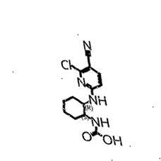 N#Cc1ccc(N[C@@H]2CCCC[C@@H]2NC(=O)O)nc1Cl